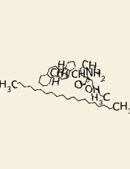 CCCCCC(N)(CC(C)[C@H]1CC[C@H]2[C@@H]3CCC4CCCC[C@]4(C)[C@H]3CC[C@]12C)C(=O)O.CCCCCCCCCCCCCCCCCCCC